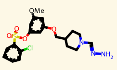 COc1cc(OCC2CCN(C=NN)CC2)cc(OS(=O)(=O)c2ccccc2Cl)c1